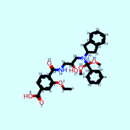 CCOc1cc(C(=O)O)ccc1C(=O)NCC(O)CN(C1Cc2ccccc2C1)C(OC)(OC)c1ccccc1